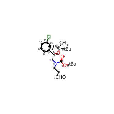 CC(C)(C)OC(=O)N(CCC=O)C[C@@H](O[Si](C)(C)C(C)(C)C)c1cccc(Cl)c1